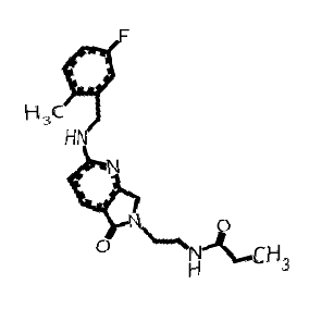 CCC(=O)NCCN1Cc2nc(NCc3cc(F)ccc3C)ccc2C1=O